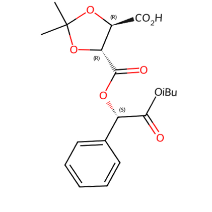 CC(C)COC(=O)[C@@H](OC(=O)[C@@H]1OC(C)(C)O[C@H]1C(=O)O)c1ccccc1